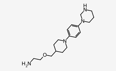 NCCOCC1CCN(c2ccc(N3CCCNC3)cc2)CC1